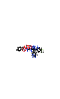 O=C(CC(=O)OCc1ccccc1)Nc1n[nH]c(-c2ccc(F)cc2)c1-c1ccncc1